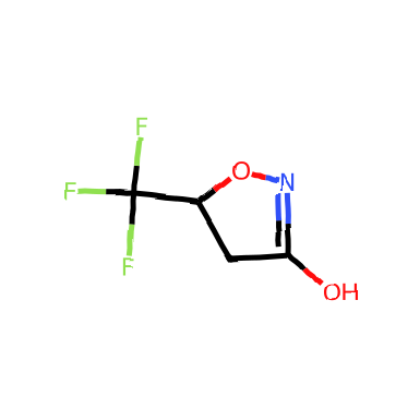 OC1=NOC(C(F)(F)F)C1